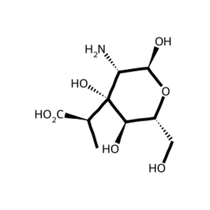 C[C@@H](C(=O)O)[C@@]1(O)[C@H](N)[C@@H](O)O[C@H](CO)[C@H]1O